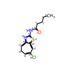 CCCCC(=O)Nc1nc2c(s1)=CC(Cl)=CCC=2